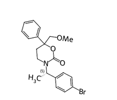 COCC1(c2ccccc2)CCN([C@@H](C)c2ccc(Br)cc2)C(=O)O1